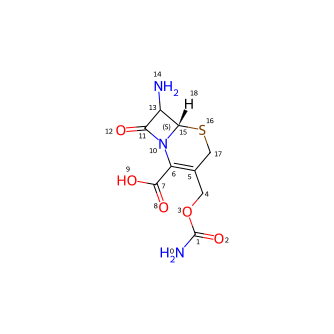 NC(=O)OCC1=C(C(=O)O)N2C(=O)C(N)[C@@H]2SC1